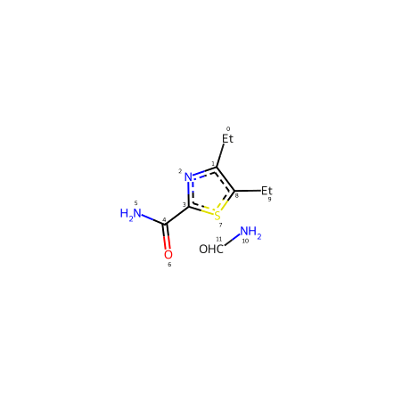 CCc1nc(C(N)=O)sc1CC.NC=O